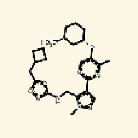 Cc1nc(-c2cnn(C)c2CNc2noc(CC3CCC3)n2)ncc1O[C@H]1CCC[C@H](C(=O)O)C1